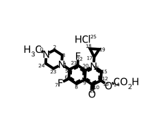 CN1CCN(c2c(F)cc3c(=O)c(OC(=O)O)cn(C4CC4)c3c2F)CC1.Cl